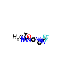 Cn1ncc(C(=O)Nc2ccc(Nc3cccc4nc(C(F)(F)F)cn34)cc2)c1C1CC1